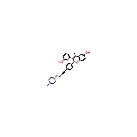 CC1=C(c2cccc(O)c2)C(c2ccc(C#CCCN3CCN(C)CC3)cc2)Oc2ccc(O)cc21